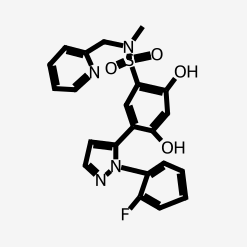 CN(Cc1ccccn1)S(=O)(=O)c1cc(-c2ccnn2-c2ccccc2F)c(O)cc1O